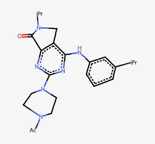 CC(=O)N1CCN(c2nc(Nc3cccc(C(C)C)c3)c3c(n2)C(=O)N(C(C)C)C3)CC1